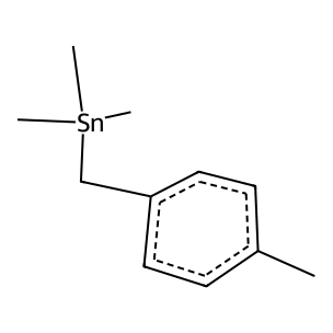 Cc1ccc([CH2][Sn]([CH3])([CH3])[CH3])cc1